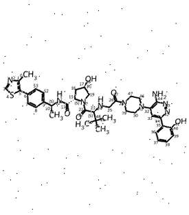 Cc1ncsc1-c1ccc([C@H](C)NC(=O)[C@@H]2C[C@@H](O)CN2C(=O)[C@@H](NCC(=O)N2CCN(c3cc(-c4ccccc4O)nnc3N)CC2)C(C)(C)C)cc1